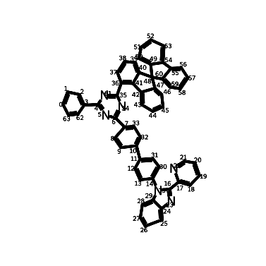 c1ccc(-c2nc(-c3ccc(-c4ccc(-n5c(-c6ccccn6)nc6ccccc65)cc4)cc3)nc(-c3cccc4c3-c3ccccc3C43c4ccccc4-c4ccccc43)n2)cc1